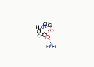 CCN(CC)CCCCOc1ccc(-c2ccccc2C)cc1C=CC(=O)c1ccccc1CN(C)C